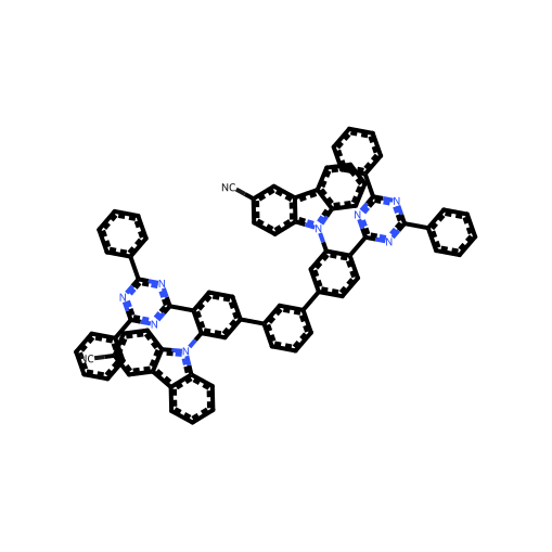 N#Cc1ccc2c(c1)c1ccccc1n2-c1cc(-c2cccc(-c3ccc(-c4nc(-c5ccccc5)nc(-c5ccccc5)n4)c(-n4c5ccccc5c5cc(C#N)ccc54)c3)c2)ccc1-c1nc(-c2ccccc2)nc(-c2ccccc2)n1